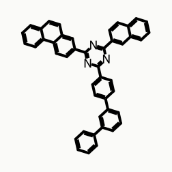 c1ccc(-c2cccc(-c3ccc(-c4nc(-c5ccc6ccccc6c5)nc(-c5ccc6c(ccc7ccccc76)c5)n4)cc3)c2)cc1